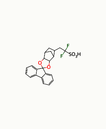 O=S(=O)(O)C(F)(F)CC1CC2CC1C1OC3(OC21)c1ccccc1-c1ccccc13